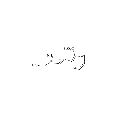 CCOC(=O)c1ccccc1/C=C/[C@@H](N)CO